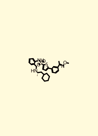 CO/N=C(\C)c1cccc(-c2ccc(S(=O)(=O)Nc3ccccc3CN[C@@H](C)CC3CCCCC3)s2)c1